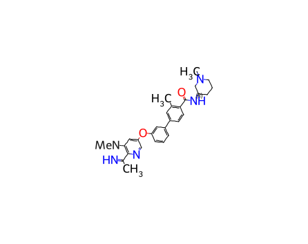 CNc1cc(Oc2cccc(-c3ccc(C(=O)N[C@@H]4CCCN(C)C4)c(C)c3)c2)cnc1C(C)=N